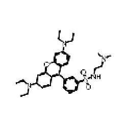 CCN(CC)c1ccc2c(c1)OC1=CC(N(CC)CC)C=CC1=C2c1cccc(S(=O)(=O)NCCN(C)C)c1